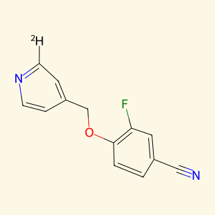 [2H]c1cc(COc2ccc(C#N)cc2F)ccn1